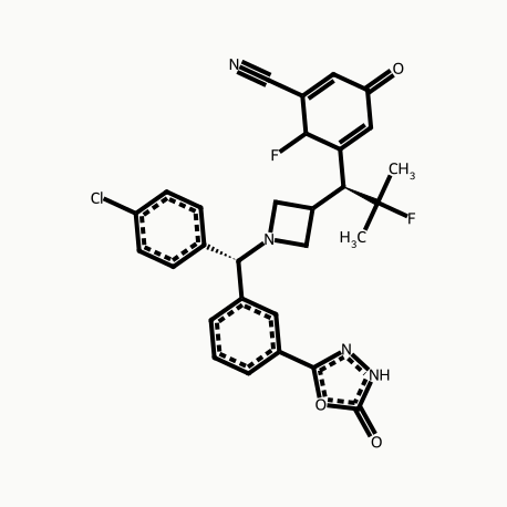 CC(C)(F)[C@H](C1=CC(=O)C=C(C#N)C1F)C1CN([C@@H](c2ccc(Cl)cc2)c2cccc(-c3n[nH]c(=O)o3)c2)C1